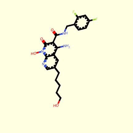 Nc1c(C(=O)NCc2ccc(F)cc2F)c(=O)n(O)c2ncc(CCCCCO)cc12